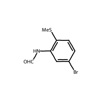 CSc1ccc(Br)cc1NC=O